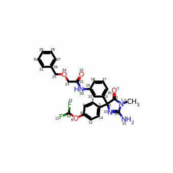 CN1C(=O)C(c2ccc(OC(F)F)cc2)(c2cccc(NC(=O)COCc3ccccc3)c2)N=C1N